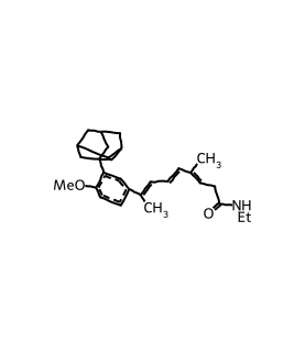 CCNC(=O)CC=C(C)C=CC=C(C)c1ccc(OC)c(C23CC4CC(CC(C4)C2)C3)c1